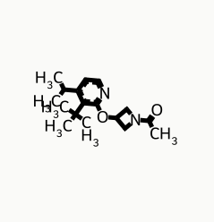 CC(=O)N1CC(Oc2nccc(C(C)C)c2C(C)(C)C)C1